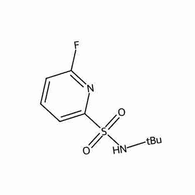 CC(C)(C)NS(=O)(=O)c1cccc(F)n1